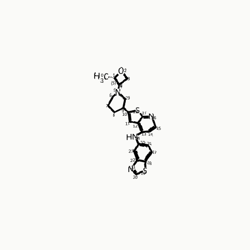 C[C@@H]1OC[C@H]1N1CCCC(c2cc3c(Nc4ccc5scnc5c4)ccnc3s2)C1